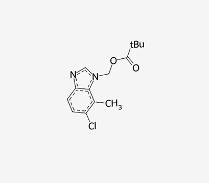 Cc1c(Cl)ccc2ncn(COC(=O)C(C)(C)C)c12